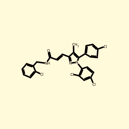 Cc1c(/C=C/C(=O)NCc2ccccc2Cl)nn(-c2ccc(Cl)cc2Cl)c1-c1ccc(Cl)cc1